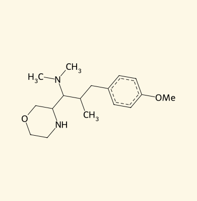 COc1ccc(CC(C)C(C2COCCN2)N(C)C)cc1